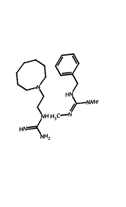 C/N=C(/NC)NCc1ccccc1.N=C(N)NCCN1CCCCCCC1